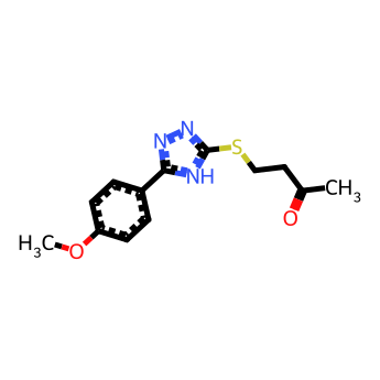 COc1ccc(-c2nnc(SCCC(C)=O)[nH]2)cc1